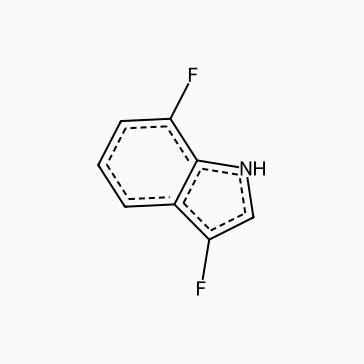 Fc1c[nH]c2c(F)cccc12